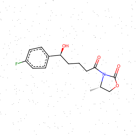 C[C@H]1COC(=O)N1C(=O)CCC[C@H](O)c1ccc(F)cc1